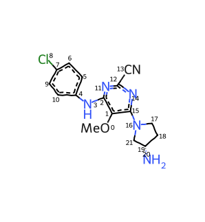 COc1c(Nc2ccc(Cl)cc2)nc(C#N)nc1N1CC[C@H](N)C1